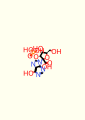 O=C(O)[C@@]1(n2cnc3c(O)ncnc32)O[C@H](CO)[C@@H](O)[C@H]1OP(=O)(O)O